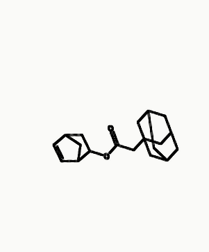 O=C(CC12CC3CC(CC(C3)C1)C2)OC1CC2C=CC1C2